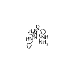 CCc1cnc(-c2c(CN)[nH]c3cccc(C(N)=O)c23)nc1NCc1ccccc1